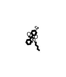 CCCCCN1C(=O)C2(COc3cc(SC)ccc32)c2ccccc21